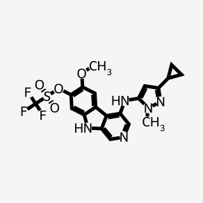 COc1cc2c(cc1OS(=O)(=O)C(F)(F)F)[nH]c1cncc(Nc3cc(C4CC4)nn3C)c12